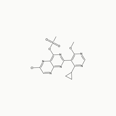 COc1ncnc(C2CC2)c1-c1nc(OS(C)(=O)=O)c2nc(Cl)cnc2n1